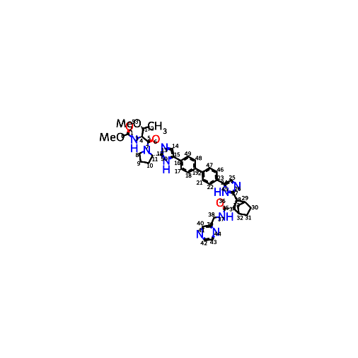 COC(=O)N[C@H](C(=O)N1CCC[C@H]1c1ncc(-c2ccc(-c3ccc(-c4cnc(C5C6CCC(C6)[C@@H]5C(=O)NCc5cnccn5)[nH]4)cc3)cc2)[nH]1)[C@@H](C)OC